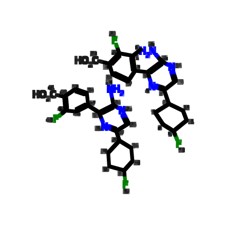 Cc1c(-c2nc(C3CCC(F)CC3)cnc2N)ccc(C(=O)O)c1F.Nc1ncc(C2CCC(F)CC2)nc1-c1ccc(C(=O)O)c(F)c1